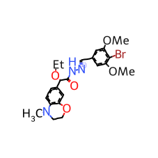 CCOC(C(=O)N/N=C/c1cc(OC)c(Br)c(OC)c1)c1ccc2c(c1)OCCN2C